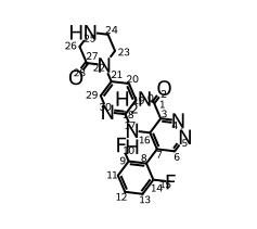 NC(=O)c1nncc(-c2c(F)cccc2F)c1Nc1ccc(N2CCNCC2=O)cn1